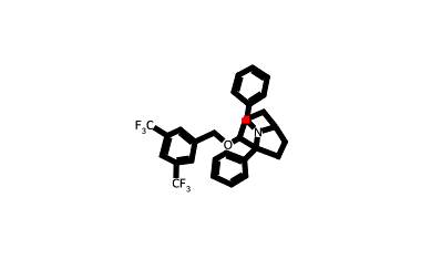 FC(F)(F)c1cc(COC2CCC3CCC2(c2ccccc2)N3Cc2ccccc2)cc(C(F)(F)F)c1